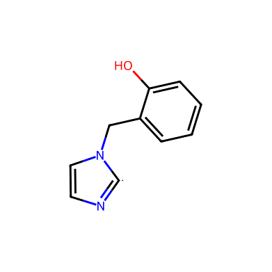 Oc1ccccc1Cn1[c]ncc1